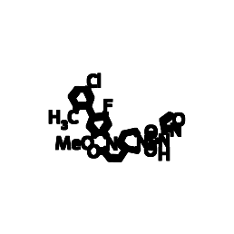 COc1cc(-c2cc(Cl)ccc2C)c(F)cc1-n1c2c(ccc1=O)CN(S(=O)(=O)Nc1ccon1)CC2